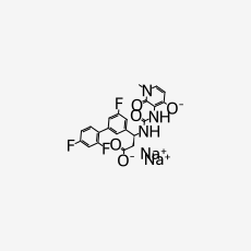 Cn1ccc([O-])c(NC(=O)N[C@@H](CC(=O)[O-])c2cc(F)cc(-c3ccc(F)cc3F)c2)c1=O.[Na+].[Na+]